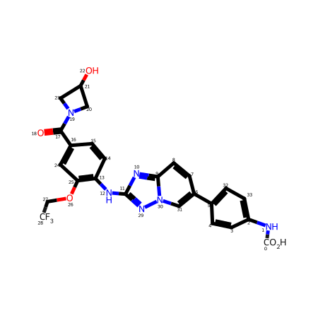 O=C(O)Nc1ccc(-c2ccc3nc(Nc4ccc(C(=O)N5CC(O)C5)cc4OCC(F)(F)F)nn3c2)cc1